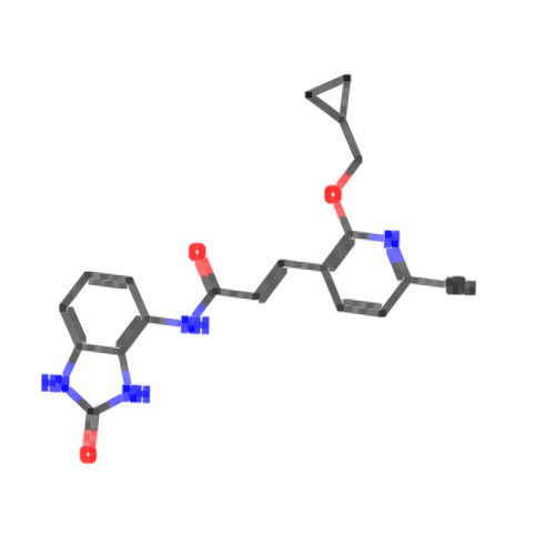 CC(C)(C)c1ccc(/C=C/C(=O)Nc2cccc3[nH]c(=O)[nH]c23)c(OCC2CC2)n1